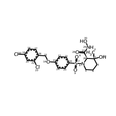 C[C@@]1(O)CCCN(S(=O)(=O)c2ccc(OCc3ccc(Cl)cc3Cl)cc2)[C@H]1C(=O)NO